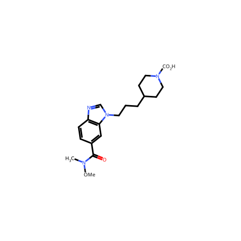 CON(C)C(=O)c1ccc2ncn(CCCC3CCN(C(=O)O)CC3)c2c1